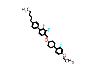 CCCCCc1ccc(-c2ccc(COC3CCC(c4ccc(OCC)cc4F)CC3)c(F)c2F)cc1